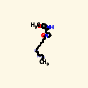 CC/C=C\C/C=C\C/C=C\CCCCCCCC(=O)N1CCCC1Cc1c[nH]c2ccc(OC)cc12